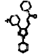 O=C(/C=C/c1cn(-c2ccccc2)nc1C1CCCNC1)N1CCCCC1